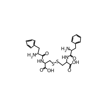 N[C@@H](Cc1ccccc1)C(=O)NC(CSSCC(NC(=O)[C@@H](N)Cc1ccccc1)C(=O)O)C(=O)O